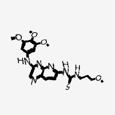 COCCCNC(=S)Nc1ccc2ncc(Nc3cc(OC)c(OC)c(OC)c3)nc2n1